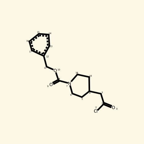 O=C(Cl)CC1CCN(C(=O)OCc2ccccc2)CC1